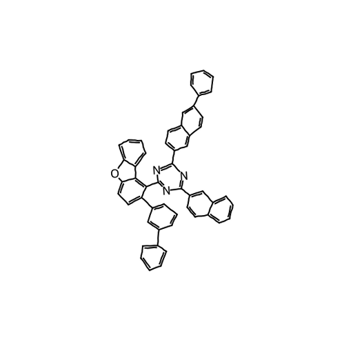 c1ccc(-c2cccc(-c3ccc4oc5ccccc5c4c3-c3nc(-c4ccc5ccccc5c4)nc(-c4ccc5cc(-c6ccccc6)ccc5c4)n3)c2)cc1